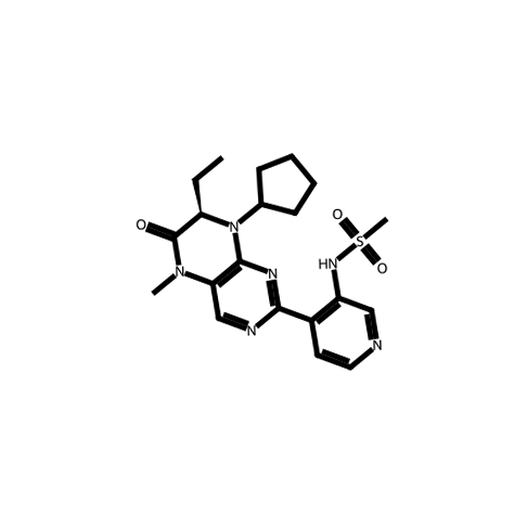 CC[C@@H]1C(=O)N(C)c2cnc(-c3ccncc3NS(C)(=O)=O)nc2N1C1CCCC1